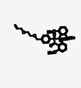 C=CCOCCOCc1ccc(P(=O)(C(=O)c2c(OC)cccc2OC)C(=O)c2c(OC)cccc2OC)cc1